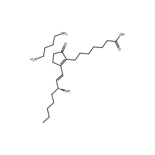 CCCCC[C@H](O)C=CC1=C(CCCCCCC(=O)O)C(=O)CC1.NCCCCN